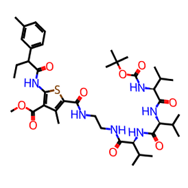 CCC(C(=O)Nc1sc(C(=O)NCCNC(=O)[C@@H](NC(=O)[C@@H](NC(=O)[C@@H](NC(=O)OC(C)(C)C)C(C)C)C(C)C)C(C)C)c(C)c1C(=O)OC)c1cccc(C)c1